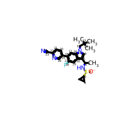 CC(N[S+]([O-])C1CC1)c1cn(CC(C)(C)C)c2cc(-c3ccc(C#N)nc3)c(F)cc12